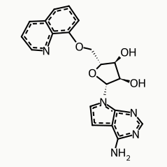 Nc1ncnc2c1ccn2[C@@H]1O[C@H](COc2cccc3cccnc23)[C@@H](O)[C@H]1O